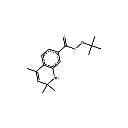 CC1=CC(C)(C)Nc2cc(C(=O)NOC(C)(C)C)ccc21